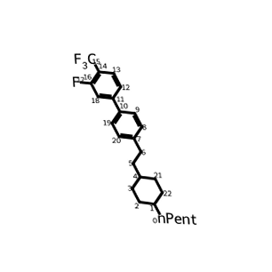 CCCCCC1CCC(CCc2ccc(-c3ccc(C(F)(F)F)c(F)c3)cc2)CC1